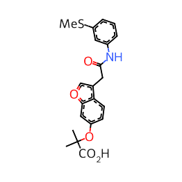 CSc1cccc(NC(=O)Cc2coc3cc(OC(C)(C)C(=O)O)ccc23)c1